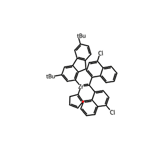 CC(C)(C)c1ccc2c(c1)-c1cc(C(C)(C)C)c[c]([Zr]([C]3=CC=CC3)=[C](c3ccc(Cl)c4ccccc34)c3ccc(Cl)c4ccccc34)c1C2